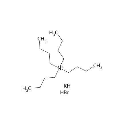 Br.CCCC[N+](CCCC)(CCCC)CCCC.[KH]